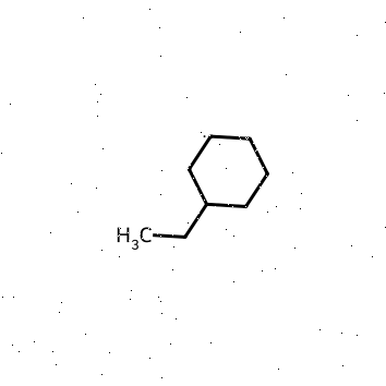 CCC1C[CH]CCC1